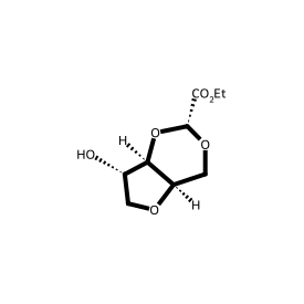 CCOC(=O)[C@@H]1OC[C@H]2OC[C@H](O)[C@H]2O1